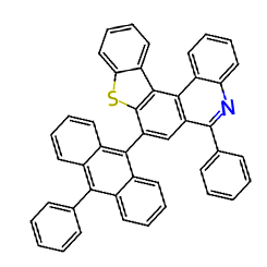 c1ccc(-c2c3ccccc3c(-c3cc4c(-c5ccccc5)nc5ccccc5c4c4c3sc3ccccc34)c3ccccc23)cc1